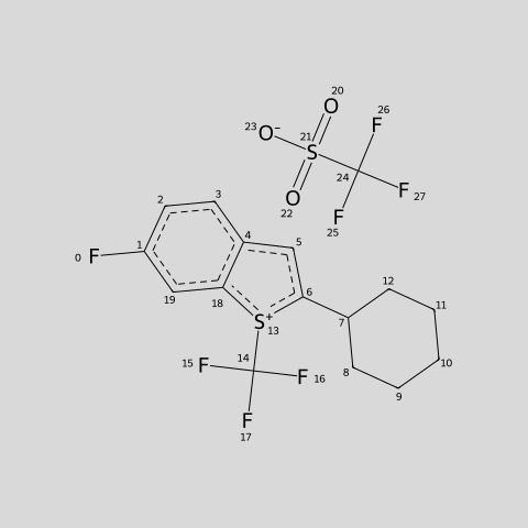 Fc1ccc2cc(C3CCCCC3)[s+](C(F)(F)F)c2c1.O=S(=O)([O-])C(F)(F)F